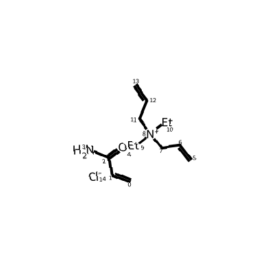 C=CC(N)=O.C=CC[N+](CC)(CC)CC=C.[Cl-]